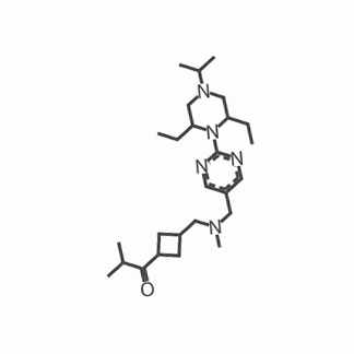 CCC1CN(C(C)C)CC(CC)N1c1ncc(CN(C)CC2CC(C(=O)C(C)C)C2)cn1